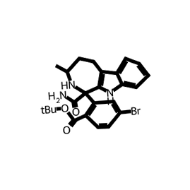 CC1CCc2c([nH]c3ccccc23)C(C(N)=O)(c2cc(Br)ccc2C(=O)OC(C)(C)C)N1